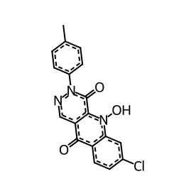 Cc1ccc(-n2ncc3c(=O)c4ccc(Cl)cc4n(O)c3c2=O)cc1